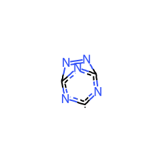 [c]1nc2nc(n1)N=N2